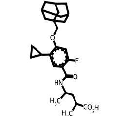 CC(CC(C)C(=O)O)NC(=O)c1cc(C2CC2)c(OCC23CC4CC(CC(C4)C2)C3)cc1F